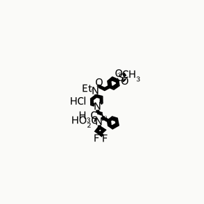 CCN(C(=O)Cc1ccc(S(C)(=O)=O)cc1)C1CCN(C(C)C[C@@H](c2ccccc2)N(C(=O)O)C2CC(F)(F)C2)CC1.Cl